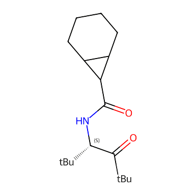 CC(C)(C)C(=O)[C@@H](NC(=O)C1C2CCCCC21)C(C)(C)C